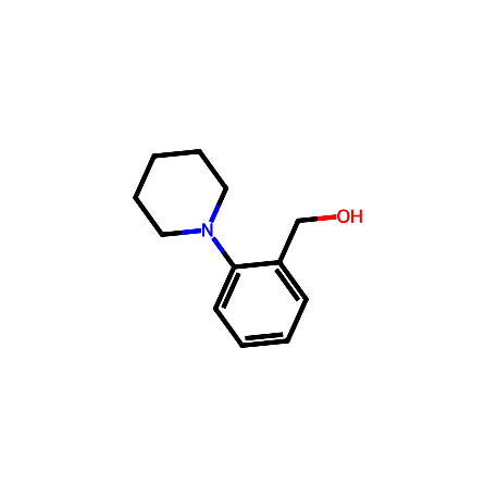 OCc1ccccc1N1CCCCC1